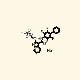 O=C(Nc1c(F)c(F)c(-c2ccccc2)c(F)c1F)c1c(OCOP(=O)([O-])O)nn2ccccc12.[Na+]